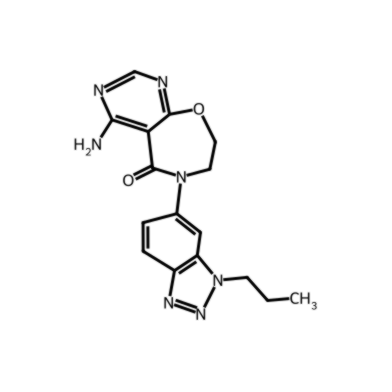 CCCn1nnc2ccc(N3CCOc4ncnc(N)c4C3=O)cc21